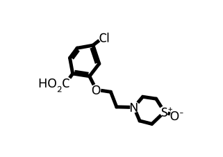 O=C(O)c1ccc(Cl)cc1OCCN1CC[S+]([O-])CC1